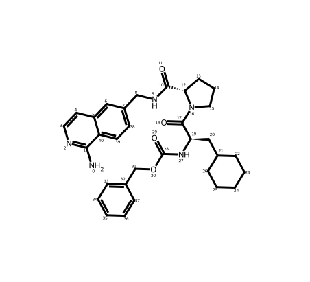 Nc1nccc2cc(CNC(=O)[C@@H]3CCCN3C(=O)[C@@H](CC3CCCCC3)NC(=O)OCc3ccccc3)ccc12